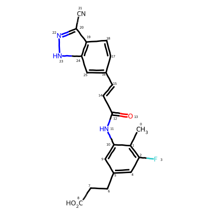 Cc1c(F)cc(CCC(=O)O)cc1NC(=O)C=Cc1ccc2c(C#N)n[nH]c2c1